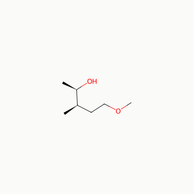 COCC[C@@H](C)[C@@H](C)O